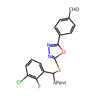 CCCCCC(Sc1nnc(-c2ccc(C=O)cc2)o1)c1cccc(Cl)c1F